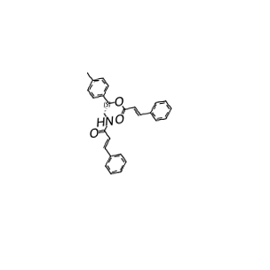 Cc1ccc([C@@H](CNC(=O)C=Cc2ccccc2)OC(=O)C=Cc2ccccc2)cc1